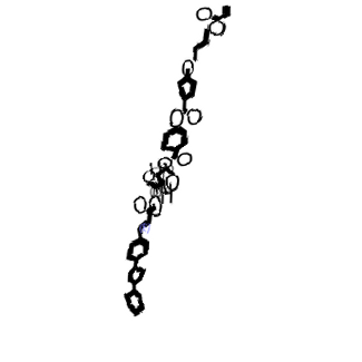 C=CC(=O)OCCCCOc1ccc(C(=O)Oc2ccc(C(=O)O[C@H]3CO[C@H]4[C@@H]3OC[C@H]4OC(=O)/C=C/c3ccc(-c4ccc(-c5ccccc5)cc4)cc3)cc2)cc1